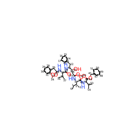 CC[C@H](C)[C@H](NC(=O)C[C@H](O)[C@H](Cc1ccccc1)NC(=O)[C@@H](NC(=O)Cc1ccccc1OC)C(C)C)C(=O)N[C@H](C(=O)OCc1ccccc1)C(C)C